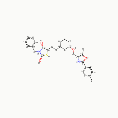 Cc1ccc(-c2nc(COC3CCCC(CCC4SC(=O)N(Cc5ccccc5)C4=O)C3)c(C)o2)cc1